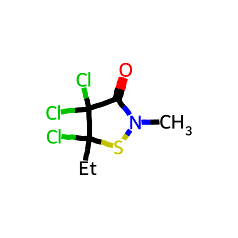 CCC1(Cl)SN(C)C(=O)C1(Cl)Cl